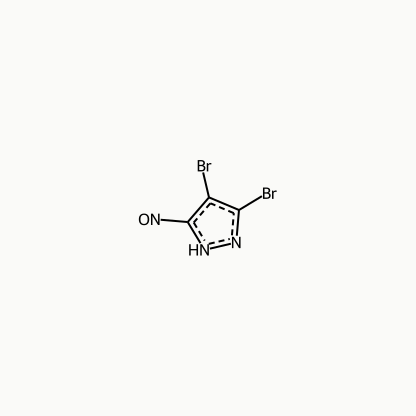 O=Nc1[nH]nc(Br)c1Br